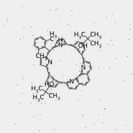 Cc1cccc(C)c1-c1c2nc(c3cc(C(C)(C)C)cc(c3O)c3ccc4ccc5ccc(nc5c4n3)c3cc(C(C)(C)C)cc(c3O)c3ccc1[nH]3)C=C2